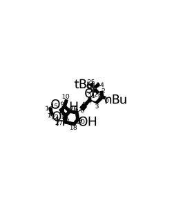 CCCCC(C)C[C@@H](C#C[C@H]1[C@@H]2C(C)C3(OCCO3)[C@@H]2CC[C@@H]1O)O[Si](C)(C)C(C)(C)C